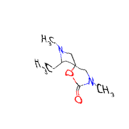 CC1N(C)CC12CN(C)C(=O)O2